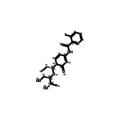 Cc1cccnc1C(=O)Nc1ccn([C@@H](CF)O[C@H](CO)[C@@H](O)F)c(=O)n1